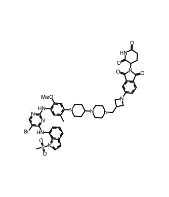 COc1cc(N2CCC(N3CCN(CC4CN(c5ccc6c(c5)C(=O)N(C5CCC(=O)NC5=O)C6=O)C4)CC3)CC2)c(C)cc1Nc1ncc(Br)c(Nc2cccc3ccn(S(C)(=O)=O)c23)n1